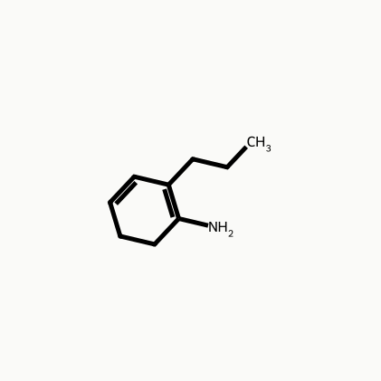 CCCC1=C(N)CCC=C1